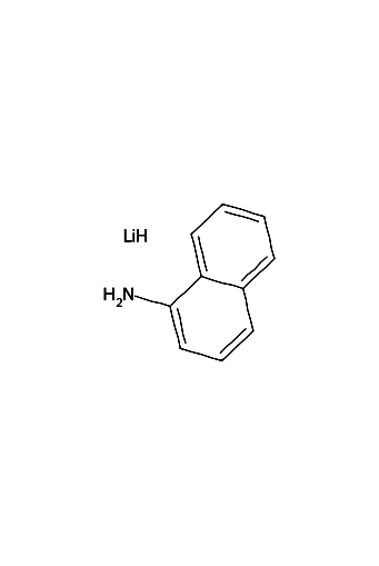 Nc1cccc2ccccc12.[LiH]